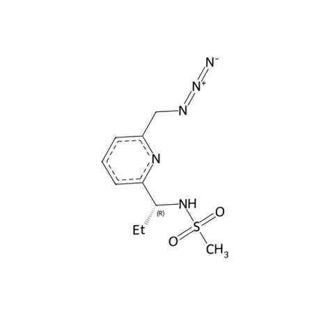 CC[C@@H](NS(C)(=O)=O)c1cccc(CN=[N+]=[N-])n1